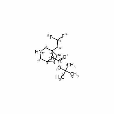 CC(C)(C)OC(=O)N1C2CCC1(CC(F)F)CNC2